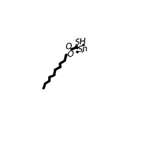 CCCCCCCCCCOC(=O)[CH](S)[Sn]([CH3])([CH3])[CH3]